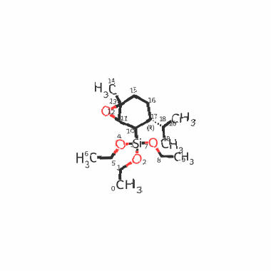 CCO[Si](OCC)(OCC)C1C2OC2(C)CC[C@@H]1C(C)C